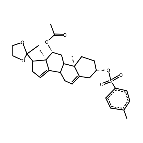 CC(=O)O[C@@H]1CC2C(CC=C3C[C@@H](OS(=O)(=O)c4ccc(C)cc4)CC[C@@]32C)C2=CCC(C3(C)OCCO3)[C@]21C